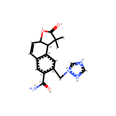 CC1(C)C(=O)OC2C=Cc3cc(C(N)=O)c(Cn4cncn4)cc3C21